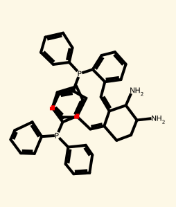 NC1CCC(=Cc2ccccc2P(c2ccccc2)c2ccccc2)C(=Cc2ccccc2P(c2ccccc2)c2ccccc2)C1N